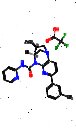 CC(=O)O[C@H]1CN2C[C@H]1N(C(=O)Nc1ccccn1)c1nc(-c3cccc(C(F)(F)F)c3)ccc12.O=C(O)C(F)(F)F